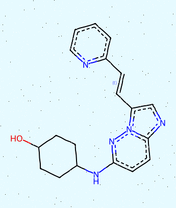 OC1CCC(Nc2ccc3ncc(/C=C/c4ccccn4)n3n2)CC1